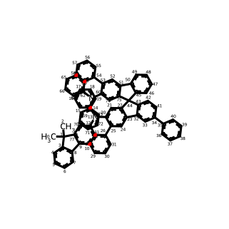 CC1(C)c2ccccc2-c2ccc(N(c3ccccc3)c3cc4c(cc3-c3ccccc3)-c3cc(-c5ccccc5)ccc3C43c4ccccc4-c4cc(-c5ccccc5)c(N(c5ccccc5)c5ccccc5)cc43)cc21